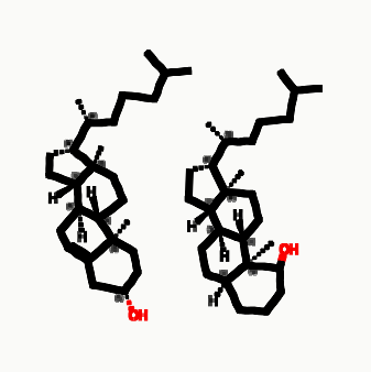 CC(C)CCC[C@@H](C)[C@H]1CC[C@H]2[C@@H]3CC=C4C[C@@H](O)CC[C@]4(C)[C@H]3CC[C@]12C.CC(C)CCC[C@@H](C)[C@H]1CC[C@H]2[C@@H]3CC[C@@H]4CCCC(O)[C@]4(C)[C@H]3CC[C@]12C